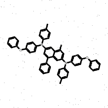 Cc1ccc(N(c2ccc(Oc3ccccc3)cc2)c2cc(-c3ccccc3)c3cc(N(c4ccc(C)cc4)c4ccc(Oc5ccccc5)cc4)cc(C)c3c2)cc1